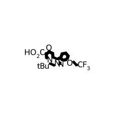 CC(C)(C)[C@H]1Cn2nc3c(OCCC(F)(F)F)cccc3c2-c2cc(=O)c(C(=O)O)cn21